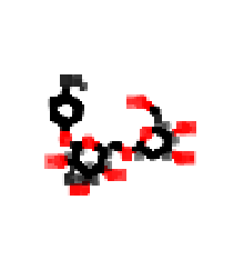 CC(=O)N[C@]1(O)[C@H](Oc2ccc([N+](=O)[O-])cc2)O[C@H](CO[C@H]2C[C@@H](O)[C@@H](O)[C@@H](CO)O2)[C@@H](O)[C@@H]1O